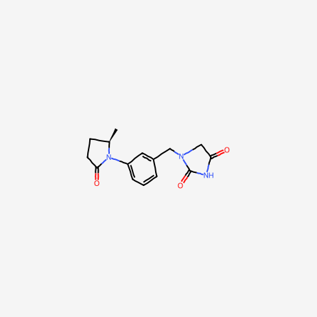 C[C@@H]1CCC(=O)N1c1cccc(CN2CC(=O)NC2=O)c1